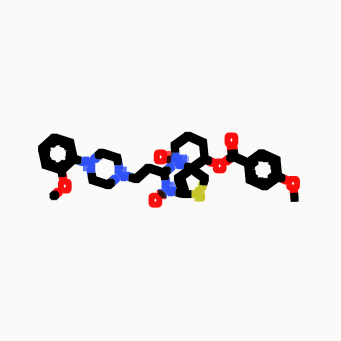 COc1ccc(C(=O)OC2CCC[N+]3([O-])C(CCN4CCN(c5ccccc5OC)CC4)[N+](=O)C4=CC23CS4)cc1